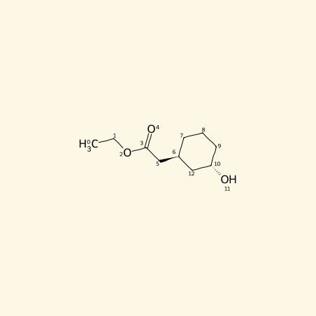 CCOC(=O)C[C@H]1CCC[C@H](O)C1